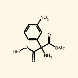 COC(=O)C(N)(C(=O)OC(C)(C)C)c1cccc([N+](=O)[O-])c1